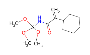 C=C(C(=O)N[Si](OC)(OC)OC)C1CCCCC1